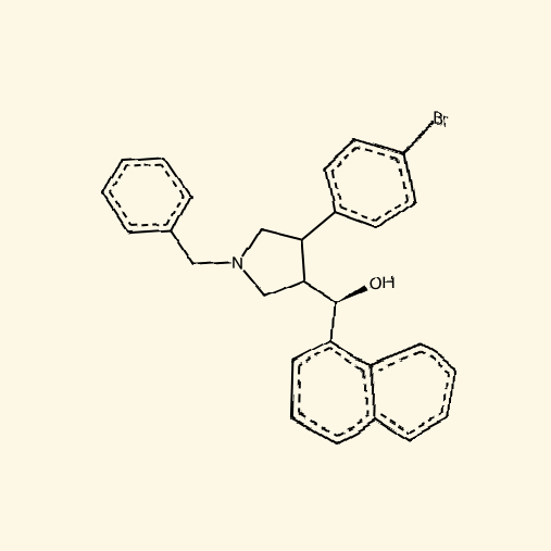 O[C@@H](c1cccc2ccccc12)C1CN(Cc2ccccc2)CC1c1ccc(Br)cc1